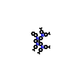 CC(C)c1ccc(N(c2ccc(C(C)C)cc2)c2ccc3c(c2)N(c2ccc(C(C)C)cc2)c2cccc4c2B3c2ccc(-n3c5ccc(C(C)C)cc5c5cc(C(C)C)ccc53)cc2N4c2ccc3ccccc3c2)cc1